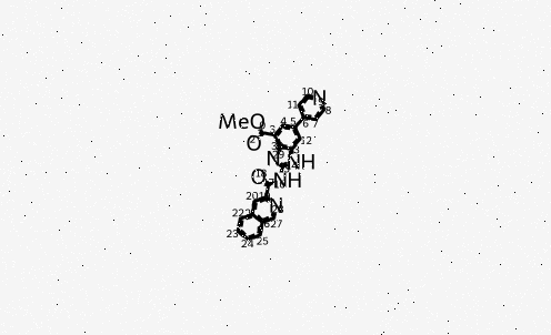 COC(=O)c1cc(-c2ccncc2)cc2[nH]c(NC(=O)c3cc4ccccc4cn3)nc12